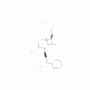 COC12CCC(O)C(C#CC(O)C3CCCCC3)C1C(C)/C2=C/CCC(=O)O